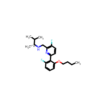 CCCCOc1cccc(F)c1-c1ccc(F)c(CN[C@H](C)C(C)C)n1